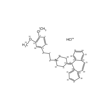 COc1ccc(CCCN2CCC(=C3c4ccccc4C=Cc4ccccc43)CC2)cc1OC.Cl